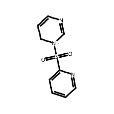 O=S(=O)(c1ccccn1)[N+]1C=NC=CC1